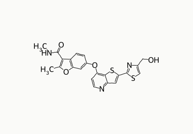 CNC(=O)c1c(C)oc2cc(Oc3ccnc4cc(-c5nc(CO)cs5)sc34)ccc12